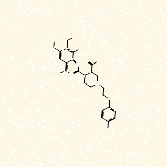 CCc1cc2c(N)nc(C3CCN(CCCc4ccc(F)cc4)CC3C(C)=O)nc2c(F)c1CC